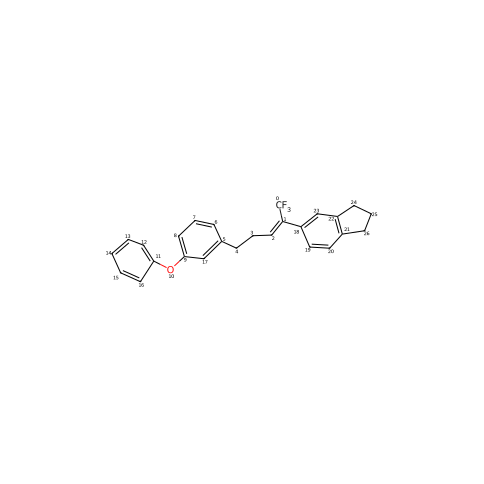 FC(F)(F)C(=CCCc1cccc(Oc2ccccc2)c1)c1ccc2c(c1)CCC2